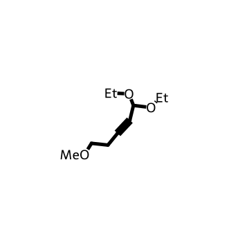 CCOC(C#CCCOC)OCC